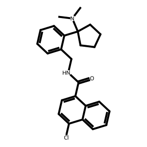 CN(C)C1(c2ccccc2CNC(=O)c2ccc(Cl)c3ccccc23)CCCC1